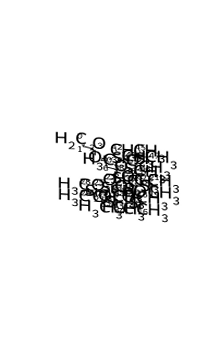 C=CC(=O)OCCC[Si](O[Si](C)(O[Si](C)(C)C)O[Si](C)(C)C)(O[Si](C)(O[Si](C)(C)C)O[Si](C)(C)C)O[Si](C)(O[Si](C)(C)C)O[Si](C)(C)C